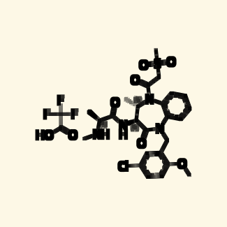 CN[C@@H](C)C(=O)N[C@@H]1C(=O)N(Cc2cc(Cl)ccc2OC)c2ccccc2N(C(=O)CS(C)(=O)=O)[C@H]1C.O=C(O)C(F)(F)F